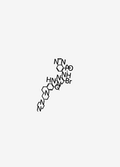 COc1cc2c(cc1Nc1ncc(Br)c(Nc3ccc4nccnc4c3P(C)(C)=O)n1)CCC1CC(N3CCN(C)CC3)CCN21